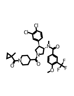 COc1ccc(C(=O)N(C)[C@@H]2CN(C(=O)C3CCN(C(=O)C4(C)CC4)CC3)C[C@H]2c2ccc(Cl)c(Cl)c2)cc1C(F)(F)F